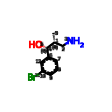 C[C@H](CN)[C@@H](O)c1cccc(Br)c1